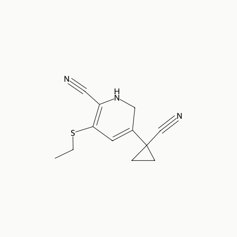 CCSC1=C(C#N)NCC(C2(C#N)CC2)=C1